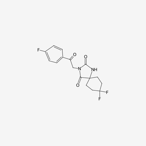 O=C(CN1C(=O)NC2(CCC(F)(F)CC2)C1=O)c1ccc(F)cc1